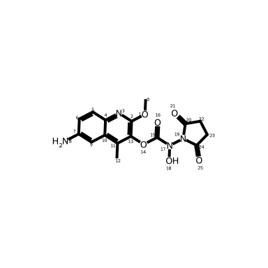 COc1nc2ccc(N)cc2c(C)c1OC(=O)N(O)N1C(=O)CCC1=O